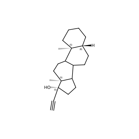 C#C[C@]1(O)CCC2C3CC[C@H]4CCCC[C@]4(C)C3CC[C@@]21C